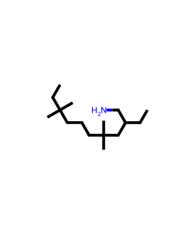 CCC(CN)CC(C)(C)CCCC(C)(C)CC